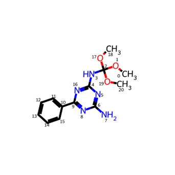 COC(Nc1nc(N)nc(-c2ccccc2)n1)(OC)OC